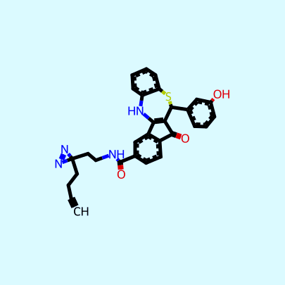 C#CCCC1(CCNC(=O)c2ccc3c(c2)C2=C(C3=O)C(c3cccc(O)c3)Sc3ccccc3N2)N=N1